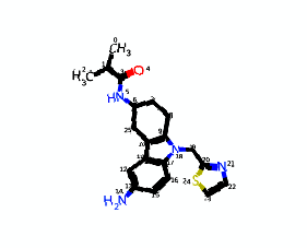 CC(C)C(=O)NC1CCc2c(c3cc(N)ccc3n2Cc2nccs2)C1